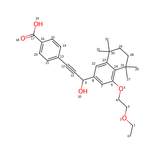 CCOCCOc1cc(C(O)C#Cc2ccc(C(=O)O)cc2)cc2c1C(C)(C)CCC2(C)C